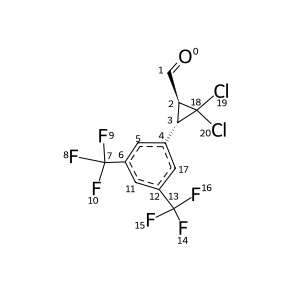 O=C[C@@H]1[C@@H](c2cc(C(F)(F)F)cc(C(F)(F)F)c2)C1(Cl)Cl